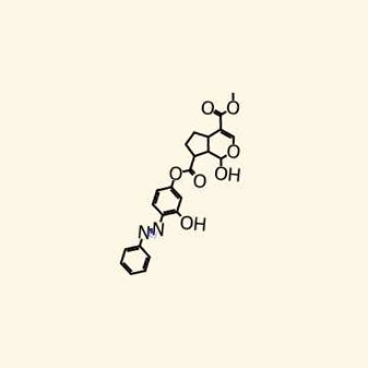 COC(=O)C1=COC(O)C2C(C(=O)Oc3ccc(/N=N/c4ccccc4)c(O)c3)CCC12